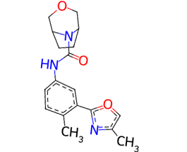 Cc1coc(-c2cc(NC(=O)N3C4CCC3COC4)ccc2C)n1